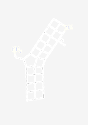 C[C@]12C3NC4CC5C6C7C8C9C(CN)C%10C%11C%12C%13CC%14CC%15C%16C%17C%18C%19C%20C1C7(C8%20C9%19C%10%18C%11%17C%12%16C%14%13%15)C62C453